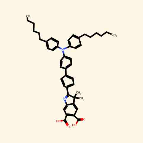 CCCCCCc1ccc(N(c2ccc(CCCCCC)cc2)c2ccc(-c3ccc(C4=Nc5cc(C(=O)O)c(C(=O)O)cc5C4(C)C)cc3)cc2)cc1